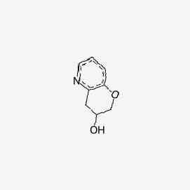 OC1COc2cccnc2C1